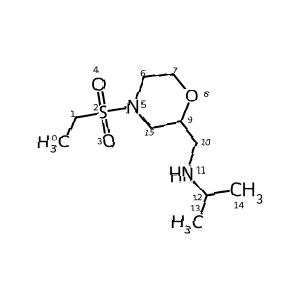 CCS(=O)(=O)N1CCOC(CNC(C)C)C1